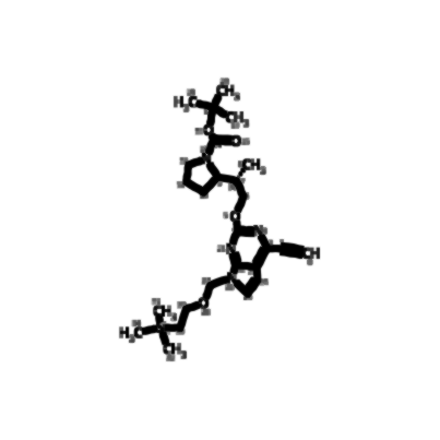 C#Cc1nc(OC[C@@H](C)C2CCCN2C(=O)OC(C)(C)C)nc2c1ccn2COCC[Si](C)(C)C